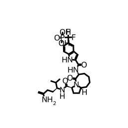 C=C(N)CC[C@H](NC(=O)[C@@H]1CC[C@@H]2CCCC[C@H](NC(=O)c3cc4cc(C(F)(F)P(=O)(O)O)ccc4[nH]3)C(=O)N21)C(C)C